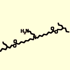 CCCC(CCC)CCOC(=O)CCCCCCCN(CCCN)CCCCCCCC(=O)OCCC(CCC)CCC